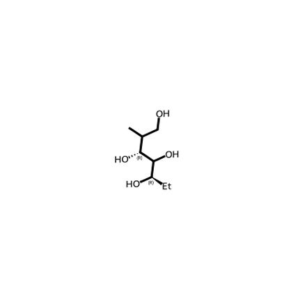 CC[C@@H](O)C(O)[C@H](O)C(C)CO